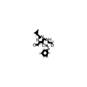 O=Cc1nc(C2CC2)nc(N[C@H](C=O)CSc2ccccc2)c1Cl